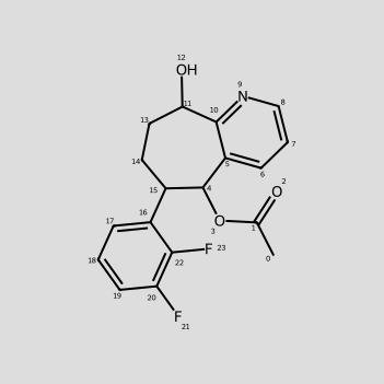 CC(=O)OC1c2cccnc2C(O)CCC1c1cccc(F)c1F